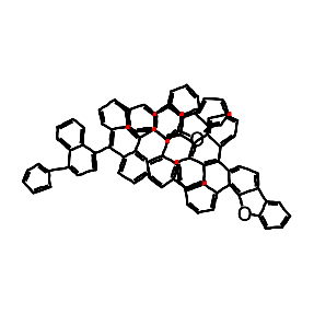 c1ccc(-c2ccc(-c3c4ccccc4c(-c4ccc5c(oc6ccccc65)c4-c4cccc(-c5cccc(-c6c(-c7c8ccccc8c(-c8cc9ccccc9c9ccccc89)c8ccccc78)ccc7c6oc6ccccc67)c5)c4)c4ccccc34)c3ccccc23)cc1